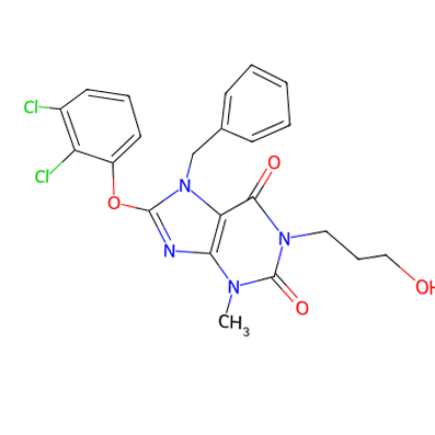 Cn1c(=O)n(CCCO)c(=O)c2c1nc(Oc1cccc(Cl)c1Cl)n2Cc1ccccc1